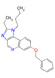 [CH2]CCCn1c(CC)nc2cnc3cc(OCc4ccccc4)ccc3c21